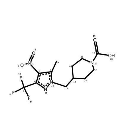 Cc1c([N+](=O)[O-])c(C(F)(F)F)nn1CC1CCN(C(=O)O)CC1